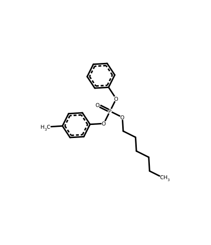 CCCCCCOP(=O)(Oc1ccccc1)Oc1ccc(C)cc1